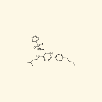 CCCCc1ccc(C(=O)N[C@@H](CNS(=O)(=O)c2cccs2)C(=O)N[CH]CC(C)C)cc1